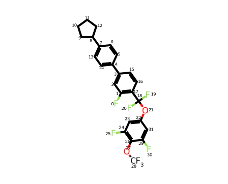 Fc1cc(-c2ccc(C3CCCC3)cc2)ccc1C(F)(F)Oc1cc(F)c(OC(F)(F)F)c(F)c1